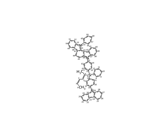 C/C=C\C=C(/C)[Si](c1ccccc1)(c1ccc(-n2c3ccccc3c3ccccc32)cc1)c1ccc(-n2c3ccccc3c3c2ccc2c4ccccc4n(-c4ccccc4)c23)cc1